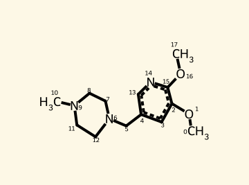 COc1cc(CN2CCN(C)CC2)cnc1OC